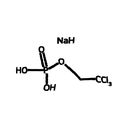 O=P(O)(O)OCC(Cl)(Cl)Cl.[NaH]